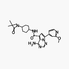 COc1cc(-c2cc(C(=O)NC3CCC(N4CC(C)(C)C4=O)CC3)c3c(N)ncnn23)ccn1